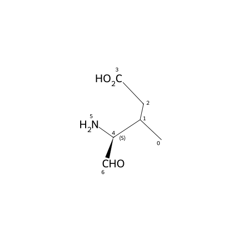 CC(CC(=O)O)[C@H](N)C=O